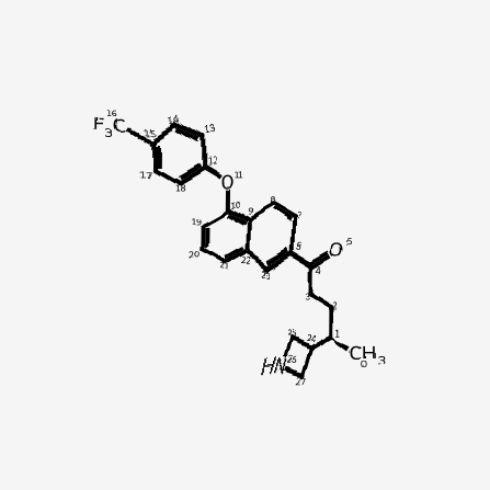 C[C@H](CCC(=O)c1ccc2c(Oc3ccc(C(F)(F)F)cc3)cccc2c1)C1CNC1